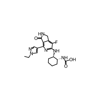 CCn1cc(-c2nc(N[C@@H]3CCCC[C@H]3NC(=O)O)c(F)c3c2C(=O)NC3)cn1